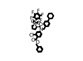 O=C(OCc1ccccc1)c1ccc(N(Cc2ccc(C3CCCCC3)cc2)C(=O)[C@H]2CCCN2S(=O)(=O)c2c(F)c(F)c(F)c(F)c2F)cc1Cl